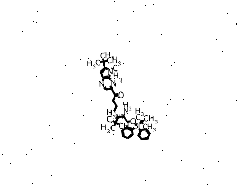 Cn1c(C(C)(C)C)cc2ncc(C(=O)CCC[C@H]([C@@H](N)CO[Si](c3ccccc3)(c3ccccc3)C(C)(C)C)C(C)(C)C)nc21